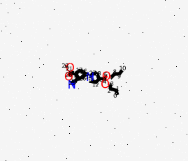 CCCCOC(OCCCC)C1CCN(c2ccc(C(=O)OC)c(C#N)c2)CC1